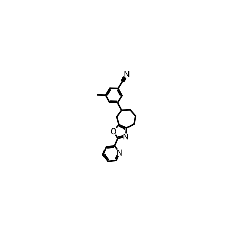 Cc1cc(C#N)cc(C2CCCc3nc(-c4ccccn4)oc3C2)c1